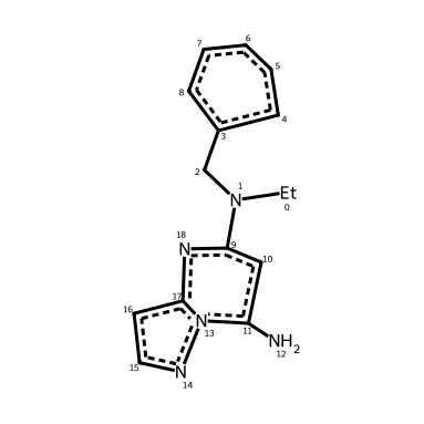 CCN(Cc1ccccc1)c1cc(N)n2nccc2n1